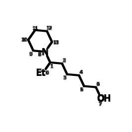 CCC(CCCCCO)N1CCCCC1